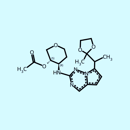 CC(=O)O[C@@H]1COCC[C@H]1Nc1ncc2ccc(C(C)C3(C)OCCO3)n2n1